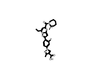 CCc1cc(C(=O)N2CCCCC[C@H]2C)nc2cc(-c3ccc(-n4cc(C(=O)O)c(C)n4)cc3F)nn12